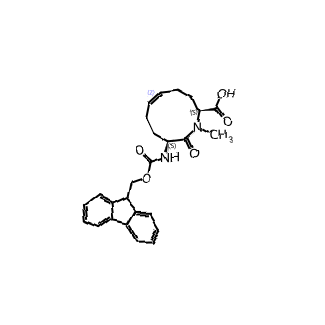 CN1C(=O)[C@@H](NC(=O)OCC2c3ccccc3-c3ccccc32)CC/C=C\CC[C@H]1C(=O)O